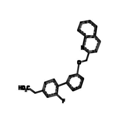 O=C(O)Cc1ccc(-c2cccc(OCc3ccc4ccccc4n3)c2)c(F)c1